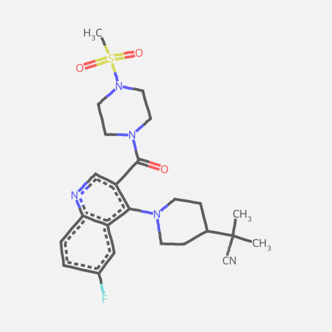 CC(C)(C#N)C1CCN(c2c(C(=O)N3CCN(S(C)(=O)=O)CC3)cnc3ccc(F)cc23)CC1